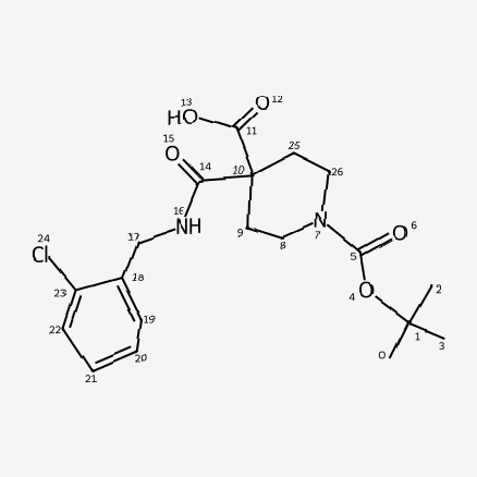 CC(C)(C)OC(=O)N1CCC(C(=O)O)(C(=O)NCc2ccccc2Cl)CC1